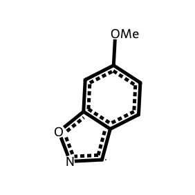 COc1ccc2[c]noc2c1